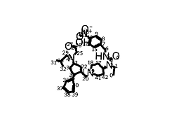 CCN(C(=O)NCc1ccc([N+](=O)[O-])cc1)C1CCN(CC2CC(N(CC(=O)O)CC(C)C)CC2c2ccccc2)CC1